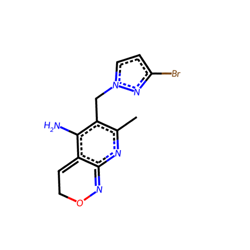 Cc1nc2c(c(N)c1Cn1ccc(Br)n1)=CCON=2